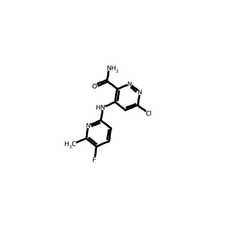 Cc1nc(Nc2cc(Cl)nnc2C(N)=O)ccc1F